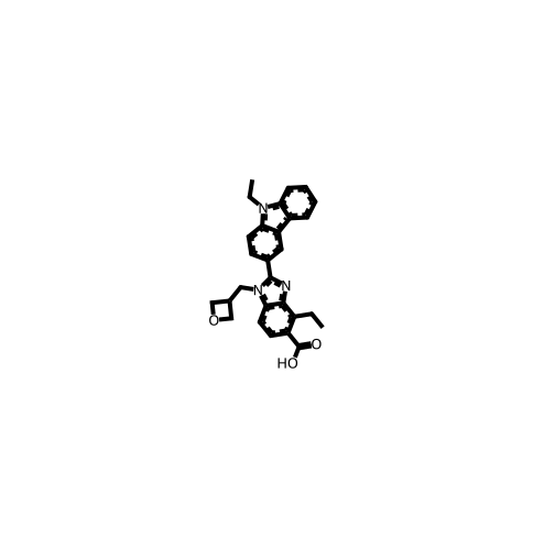 CCc1c(C(=O)O)ccc2c1nc(-c1ccc3c(c1)c1ccccc1n3CC)n2CC1COC1